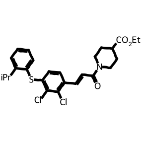 CCOC(=O)C1CCN(C(=O)C=Cc2ccc(Sc3ccccc3C(C)C)c(Cl)c2Cl)CC1